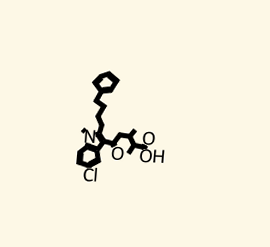 CC(CC(=O)c1c(CCCCc2ccccc2)n(C)c2ccc(Cl)cc12)C(C)C(=O)O